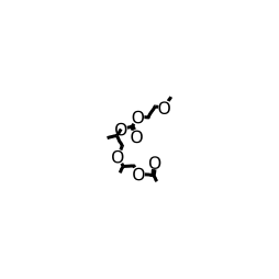 COCCOC(=O)OC(C)COC(C)COC(C)=O